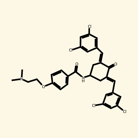 CN(C)CCOc1ccc(C(=O)NC2CC(=Cc3cc(Cl)cc(Cl)c3)C(=O)C(=Cc3cc(Cl)cc(Cl)c3)C2)cc1